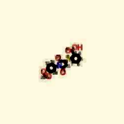 O=C(O)c1ccccc1S[C@H]1CC(=O)N(c2ccc3c(c2)OCO3)C1=O